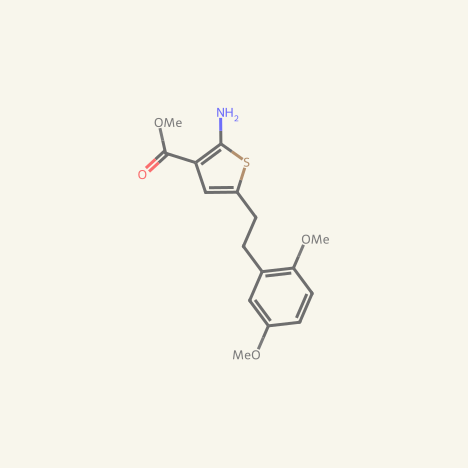 COC(=O)c1cc(CCc2cc(OC)ccc2OC)sc1N